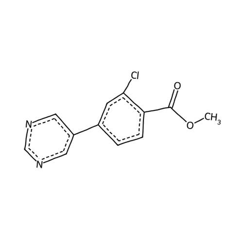 COC(=O)c1ccc(-c2cncnc2)cc1Cl